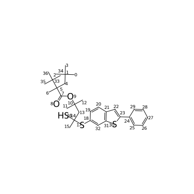 CC(C)(C)CC(C)(C(=O)OC(C)(C)CC(C)(S)Sc1ccc2cc(-c3ccccc3)sc2c1)C(C)(C)C